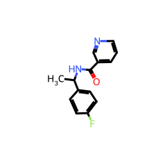 CC(NC(=O)c1cccnc1)c1ccc(F)cc1